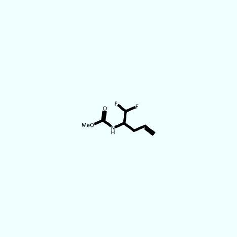 C=CCC(NC(=O)OC)C(F)F